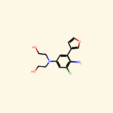 Nc1c(Cl)cc(N(CCO)CCO)cc1-c1ccoc1